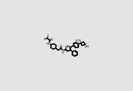 C[C@]1(O)C[C@@](N)(c2ccc(-c3nnc(NC(=O)CC4CCC(NC(=O)C(F)F)CC4)cc3-c3ccccc3)cc2)C1